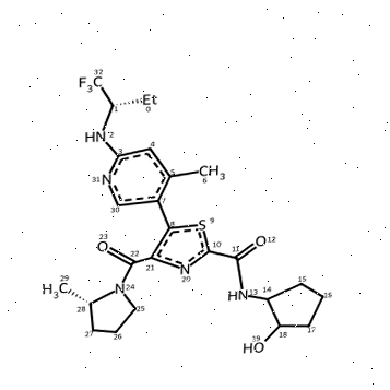 CC[C@H](Nc1cc(C)c(-c2sc(C(=O)NC3CCCC3O)nc2C(=O)N2CCC[C@@H]2C)cn1)C(F)(F)F